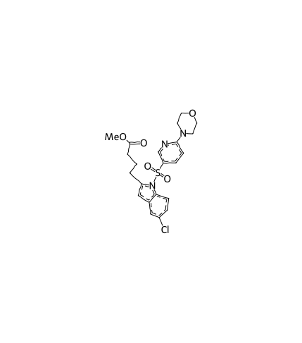 COC(=O)CCCc1cc2cc(Cl)ccc2n1S(=O)(=O)c1ccc(N2CCOCC2)nc1